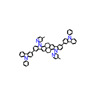 Cc1ccnc(-n2c3ccc(-c4ccc5c(c4)C4C=CC=CC4N5c4ccccc4)cc3c3cc4c5c(c32)CCc2cc3c6cc(-c7ccc8c(c7)c7ccccc7n8-c7ccccc7)ccc6n(-c6cc(C)ccn6)c3c(c2-5)CC4)c1